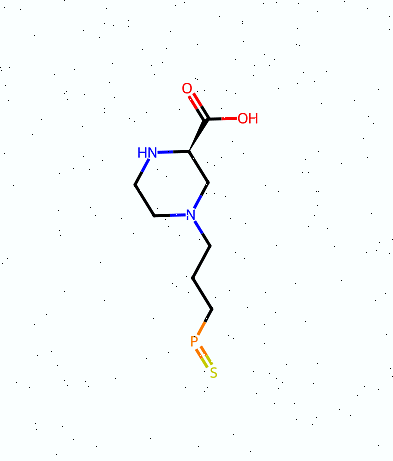 O=C(O)[C@H]1CN(CCCP=S)CCN1